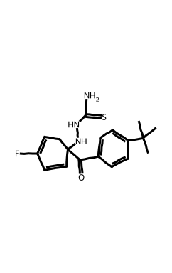 CC(C)(C)c1ccc(C(=O)C2(NNC(N)=S)C=CC(F)=CC2)cc1